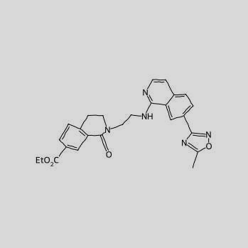 CCOC(=O)c1ccc2c(c1)C(=O)N(CCNc1nccc3ccc(-c4noc(C)n4)cc13)CC2